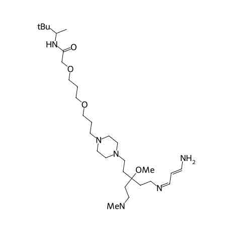 CNCCC(CC/N=C\C=C\N)(CCN1CCN(CCCOCCCOCC(=O)NC(C)C(C)(C)C)CC1)OC